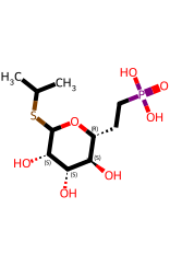 CC(C)SC1O[C@H](CCP(=O)(O)O)[C@@H](O)[C@H](O)[C@@H]1O